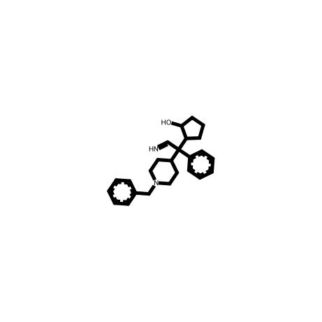 N=CC(c1ccccc1)(C1CCN(Cc2ccccc2)CC1)C1CCCC1O